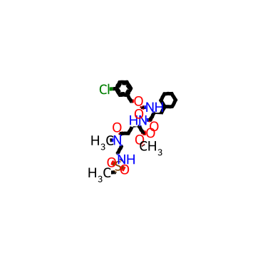 CCS(=O)(=O)NCCN(C)C(=O)CC[C@H](NC(=O)[C@H](CC1CCCCC1)NC(=O)OCc1cccc(Cl)c1)C(=O)OC